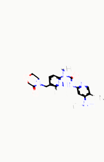 CC(C)Nc1cc(NC(=O)N(C)c2ccc(CN3CCOCC3=O)c(C=O)n2)ncc1C#N